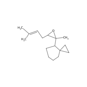 CC(C)=CCC1OC1(C)C1CCCCC12CC2